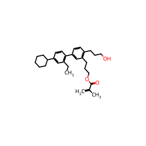 C=C(C)C(=O)OCCCc1cc(-c2ccc(C3CCCCC3)cc2CC)ccc1CCCO